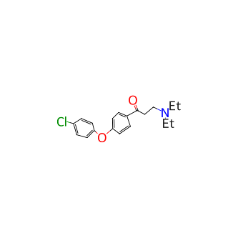 CCN(CC)CCC(=O)c1ccc(Oc2ccc(Cl)cc2)cc1